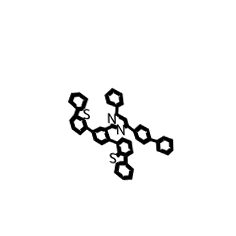 c1ccc(-c2ccc(-c3cc(-c4ccccc4)nc(-c4cc(-c5cccc6c5sc5ccccc56)ccc4-c4cccc5c4sc4ccccc45)n3)cc2)cc1